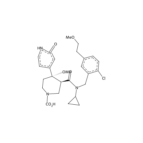 COCCc1ccc(Cl)c(CN(C(=O)[C@H]2CN(C(=O)O)CC[C@@]2(OC)c2cc[nH]c(=O)c2)C2CC2)c1